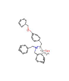 O=C(O)[C@@H](O)[C@H](Cc1ccc(OCc2ccccc2)cc1)N(Cc1ccccc1)Cc1ccccc1